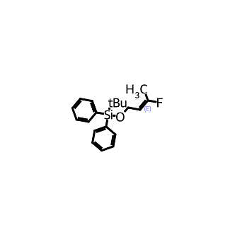 C/C(F)=C\CO[Si](c1ccccc1)(c1ccccc1)C(C)(C)C